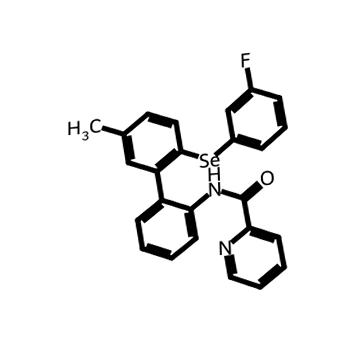 Cc1ccc([Se]c2cccc(F)c2)c(-c2ccccc2NC(=O)c2ccccn2)c1